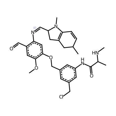 CNC(C)C(=O)Nc1cc(CCl)cc(COc2cc(/N=C\C3CC4=C(C=CC(C)C4)N3C)c(C=O)cc2OC)c1